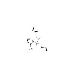 C=CC(=O)OC(C)C(C)(OC(=O)C=C)c1occc1C(N)=O